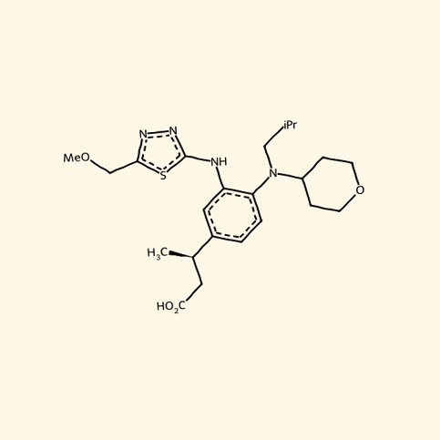 COCc1nnc(Nc2cc([C@H](C)CC(=O)O)ccc2N(CC(C)C)C2CCOCC2)s1